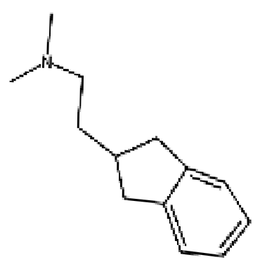 CN(C)CCC1Cc2ccccc2C1